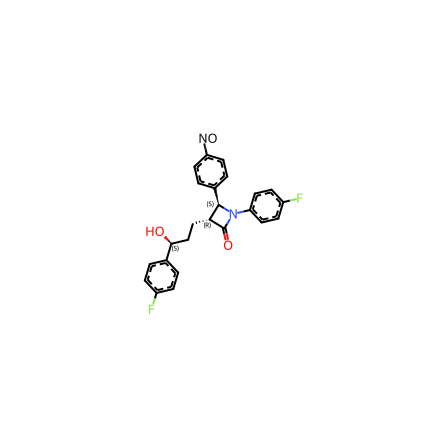 O=Nc1ccc([C@@H]2[C@@H](CC[C@H](O)c3ccc(F)cc3)C(=O)N2c2ccc(F)cc2)cc1